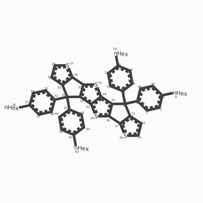 CCCCCCc1ccc(C2(c3ccc(CCCCCC)cc3)c3ccsc3-c3sc4c5c(sc4c32)-c2sccc2C5(c2ccc(CCCCCC)cc2)c2ccc(CCCCCC)cc2)cc1